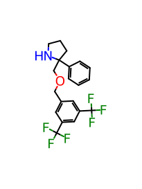 FC(F)(F)c1cc(COCC2(c3ccccc3)CCCN2)cc(C(F)(F)F)c1